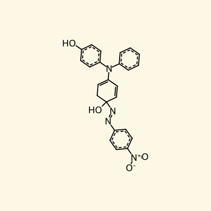 O=[N+]([O-])c1ccc(N=NC2(O)C=CC(N(c3ccccc3)c3ccc(O)cc3)=CC2)cc1